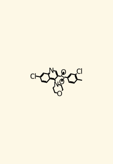 Cc1ccc(S(=O)(=O)c2cnc3cc(Cl)ccc3c2N2CCOCC2)cc1Cl